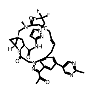 CC(=O)c1nn2c3c(cc(-c4cnc(C)nc4)cc13)C/C=C/CCCC(=O)N(C)C[C@@]13C[C@@H](C(=O)Nc4ccn(CC(F)(F)F)n4)N(C(=O)C2)[C@@H]1C3